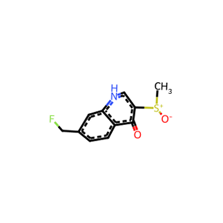 C[S+]([O-])c1c[nH]c2cc(CF)ccc2c1=O